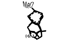 COc1ccc2c(c1)CC1NCCC2(C)C1(C)C